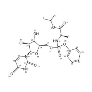 CC(C)OC(=O)[C@@H](C)NP(=O)(OC[C@H]1O[C@@H](n2ccc(=O)[nH]c2=O)[C@@H](Cl)[C@@H]1O)Oc1ccccc1